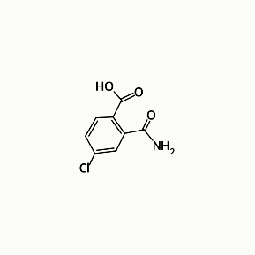 NC(=O)c1cc(Cl)ccc1C(=O)O